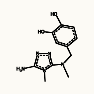 CN(Cc1ccc(O)c(O)c1)c1nnc(N)n1C